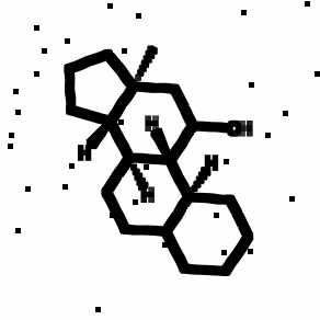 C[C@@]12CCC[C@H]1[C@@H]1CCC3CCCC[C@@H]3[C@H]1C(O)C2